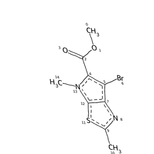 COC(=O)c1c(Br)c2nc(C)sc2n1C